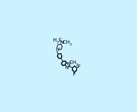 CN(C)C1CCN(Cc2ccc(-c3ccc4nc(-c5cc(F)cc(F)c5)n(C)c4c3)cc2)CC1